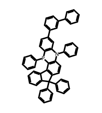 c1ccc(-c2cccc(-c3ccc4c(c3)N(c3ccccc3)c3ccc5c(c3P4c3ccccc3)-c3ccccc3C5(c3ccccc3)c3ccccc3)c2)cc1